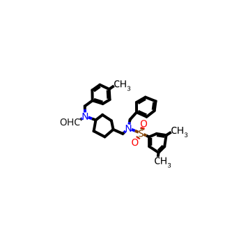 Cc1ccc(CN(C=O)C2CCC(CN(Cc3ccccc3)S(=O)(=O)c3cc(C)cc(C)c3)CC2)cc1